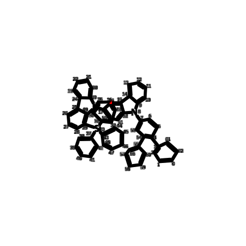 c1ccc(-c2ccc(-n3c4ccccc4c4cc(-n5c6ccccc6c6cccc([Si](c7ccccc7)(c7ccccc7)c7ccccc7)c65)ccc43)cc2-c2ccccc2)cc1